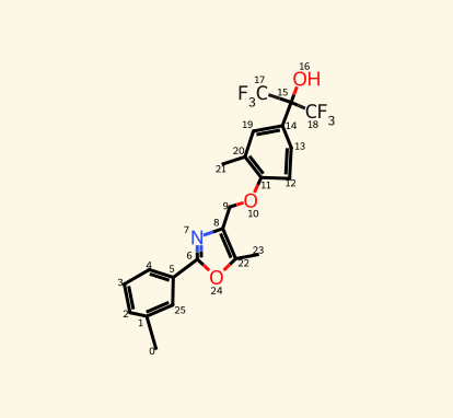 Cc1cccc(-c2nc(COc3ccc(C(O)(C(F)(F)F)C(F)(F)F)cc3C)c(C)o2)c1